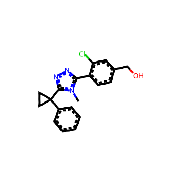 Cn1c(-c2ccc(CO)cc2Cl)nnc1C1(c2ccccc2)CC1